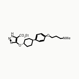 CCOC(=O)c1[nH]nnc1O[C@H]1CC[C@H](c2ccc(OCCCNC)cc2)CC1